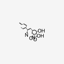 C=C\C=C/C(=C\C)C(/C#N)=C/c1cc(O)c(O)c([N+](=O)[O-])c1